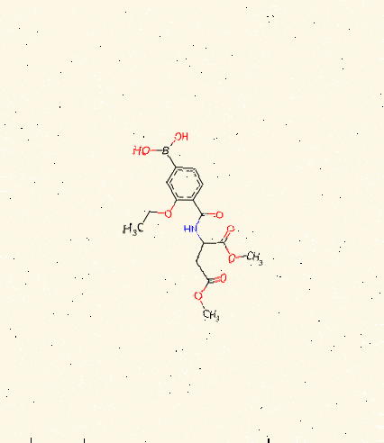 CCOc1cc(B(O)O)ccc1C(=O)NC(CC(=O)OC)C(=O)OC